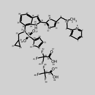 CN(Cc1ccccn1)Cc1cnc(-c2cc3cccc(N(CC4CC4)S(=O)(=O)c4cccs4)c3[nH]2)s1.O=C(O)C(F)(F)F.O=C(O)C(F)(F)F